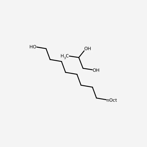 CC(O)CO.CCCCCCCCCCCCCCCCO